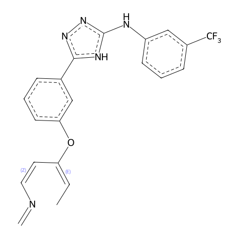 C=N/C=C\C(=C/C)Oc1cccc(-c2nnc(Nc3cccc(C(F)(F)F)c3)[nH]2)c1